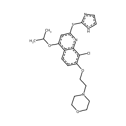 CC(C)Oc1cc(Sc2ncc[nH]2)nc2c(Cl)c(OCCN3CCOCC3)ccc12